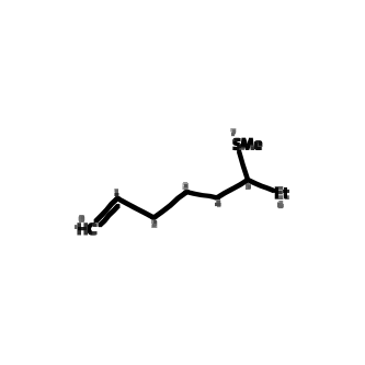 [CH]=CCCCC(CC)SC